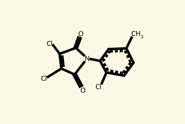 Cc1ccc(Cl)c(N2C(=O)C(Cl)=C(Cl)C2=O)c1